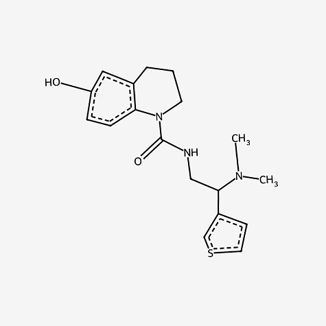 CN(C)C(CNC(=O)N1CCCc2cc(O)ccc21)c1ccsc1